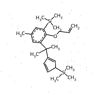 C=CCOc1c(C(C)(C)C2=CC([Si](C)(C)C)C=C2)cc(C)cc1[Si](C)(C)C